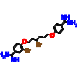 N=C(N)c1ccc(OCCCC(Br)CCOc2ccc(C(=N)N)cc2Br)cc1